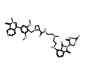 C=C1NC(=O)CCC1N1C(=C)c2cccc(NCCN(C)CCNC(=O)C3CCN3Cc3c(OC)cc(C4=CN(C)C(=C)c5cnccc54)cc3OC)c2C1=O